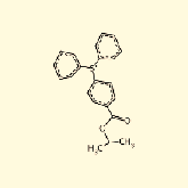 CC(C)OC(=O)c1ccc([S+](c2ccccc2)c2ccccc2)cc1